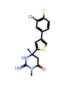 CN1C(=N)N[C@](C)(c2cc(-c3ccc(F)c(Cl)c3)cs2)CC1=O